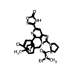 CCN(C)C(=O)[C@@H]1CCCN1c1nc2cc(-c3noc(=O)[nH]3)nc(-c3cncc(Cl)c3)c2n1CC1CCC(C)CC1